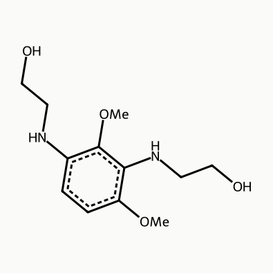 COc1ccc(NCCO)c(OC)c1NCCO